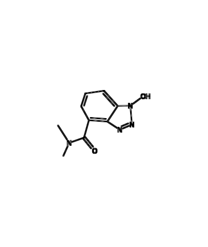 CN(C)C(=O)c1cccc2c1nnn2O